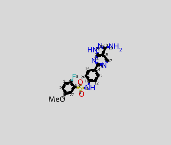 COc1ccc(F)c(S(=O)(=O)Nc2ccc(-c3ncc4c(N)n[nH]c4n3)cc2)c1